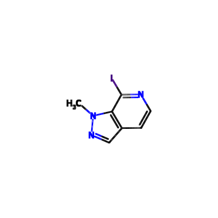 Cn1ncc2ccnc(I)c21